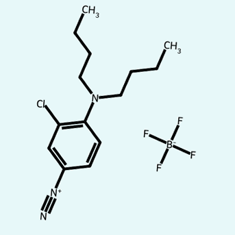 CCCCN(CCCC)c1ccc([N+]#N)cc1Cl.F[B-](F)(F)F